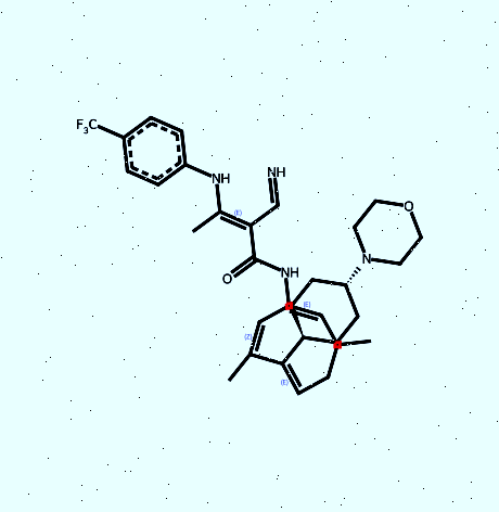 CC1=C/C(NC(=O)/C(C=N)=C(\C)Nc2ccc(C(F)(F)F)cc2)=C\C(C)C\C=C\1[C@H]1CC[C@H](N2CCOCC2)CC1